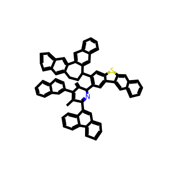 C=C1C(c2ccc3ccccc3c2)=C(C)C(c2cc3ccccc3c3ccccc23)=NC1c1cc2c(cc1C1CCc3cc4ccccc4cc3-c3cc4ccccc4cc31)sc1cc3ccccc3cc12